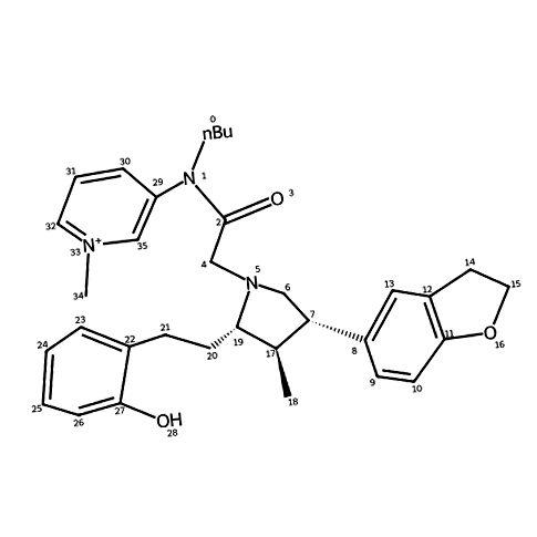 CCCCN(C(=O)CN1C[C@H](c2ccc3c(c2)CCO3)[C@@H](C)[C@@H]1CCc1ccccc1O)c1ccc[n+](C)c1